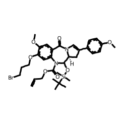 C=CCOC(=O)N1c2cc(OCCCBr)c(OC)cc2C(=O)N2C=C(c3ccc(OC)cc3)C[C@H]2C1O[Si](C)(C)C(C)(C)C